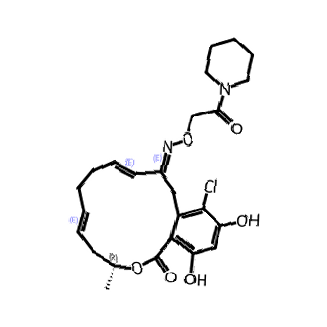 C[C@@H]1C/C=C/CC/C=C/C(=N/OCC(=O)N2CCCCC2)Cc2c(Cl)c(O)cc(O)c2C(=O)O1